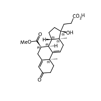 COC(=O)[C@@H]1CC2=CC(=O)CC[C@]2(C)C2=CC[C@@]3(C)[C@@H](CC[C@]3(O)CCC(=O)O)[C@@H]21